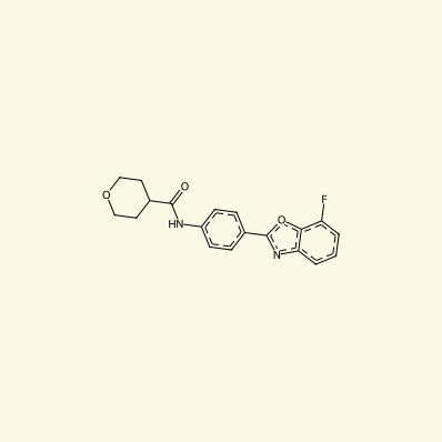 O=C(Nc1ccc(-c2nc3cccc(F)c3o2)cc1)C1CCOCC1